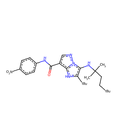 CC(C)(C)CCC(C)(C)Nc1c(C(C)(C)C)[nH]c2c(C(=O)Nc3ccc([N+](=O)[O-])cc3)cnn12